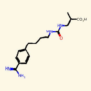 CC(CNC(=O)NCCCCc1ccc(C(=N)N)cc1)C(=O)O